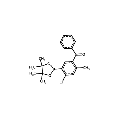 Cc1cc(Cl)c(B2OC(C)(C)C(C)(C)O2)cc1C(=O)c1ccccc1